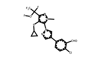 Cn1nc(C(F)(OF)C(F)(F)F)c(SC2CC2)c1-n1cc(-c2ccc(Cl)c(C=O)c2)cn1